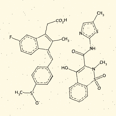 CC1=C(CC(=O)O)c2cc(F)ccc2/C1=C\c1ccc([S+](C)[O-])cc1.Cc1cnc(NC(=O)C2=C(O)c3ccccc3S(=O)(=O)N2C)s1